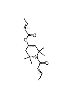 C/C=C/C(=O)OC1=CC(C)(C)N(C(=O)/C=C/C)C(C)(C)C1